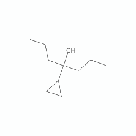 CCCC(O)(CCC)C1CC1